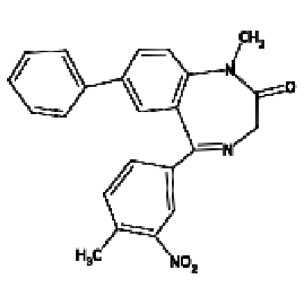 Cc1ccc(C2=NCC(=O)N(C)c3ccc(-c4ccccc4)cc32)cc1[N+](=O)[O-]